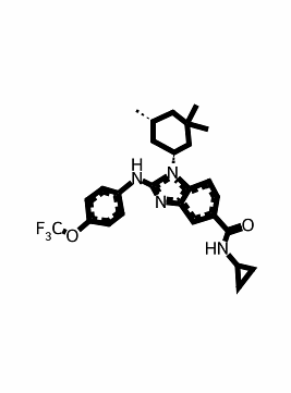 C[C@H]1C[C@@H](n2c(Nc3ccc(OC(F)(F)F)cc3)nc3cc(C(=O)NC4CC4)ccc32)CC(C)(C)C1